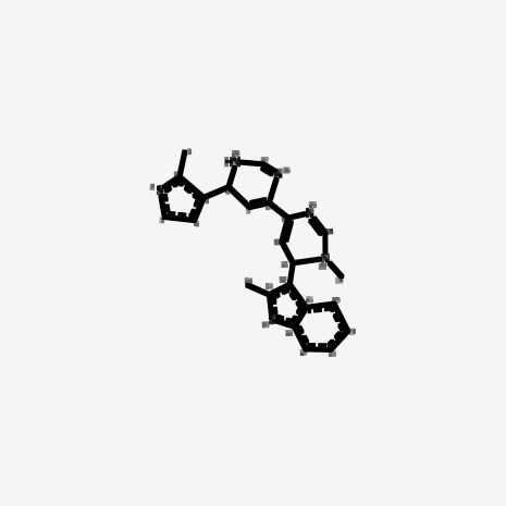 Cc1sccc1C1C=C(C2=CC(c3c(C)sc4ccccc34)N(C)C=N2)N=CN1